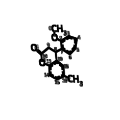 COc1ccccc1C1CC(=O)Oc2ccc(C)cc21